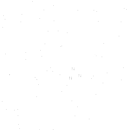 c1ccc(-c2ccc(-c3ccc4c5ccccc5n(-c5cccc(-c6cccc(-c7nc(-c8ccccc8)nc(-c8ccc9oc%10ccccc%10c9c8)n7)c6)c5)c4c3)cc2)cc1